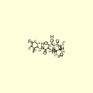 CCN1C(=O)c2c(O)c(=O)c(C(=O)NCc3ccc(F)c(C)c3F)cn2[C@@H]2CCOC[C@H]21